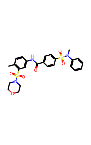 Cc1ccc(NC(=O)c2ccc(S(=O)(=O)N(C)c3ccccc3)cc2)cc1S(=O)(=O)N1CCOCC1